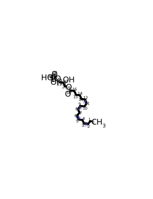 CC/C=C\C/C=C\C/C=C\C/C=C\CCCCC(=O)OCC(O)COP(=O)(O)O